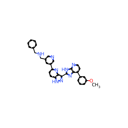 COc1cccc(-c2ccnc3[nH]c(-c4n[nH]c5ccc(-c6cncc(CNCc7ccccc7)c6)nc45)nc23)c1